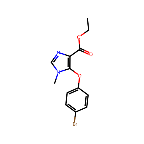 CCOC(=O)c1ncn(C)c1Oc1ccc(Br)cc1